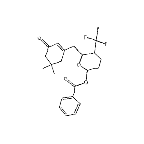 CC1(C)CC(=O)C=C(CC2OC(OC(=O)c3ccccc3)CCC2C(F)(F)F)C1